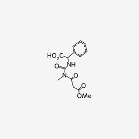 COC(=O)CC(=O)N(C)C(=O)NC(C(=O)O)c1ccccc1